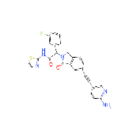 Nc1ccc(C#Cc2ccc3c(c2)C(=O)N(C(C(=O)Nc2nccs2)c2cccc(F)c2)C3)cn1